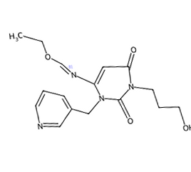 CCO/C=N/c1cc(=O)n(CCCO)c(=O)n1Cc1cccnc1